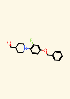 O=CC1CCN(c2ccc(OCc3ccccc3)cc2F)CC1